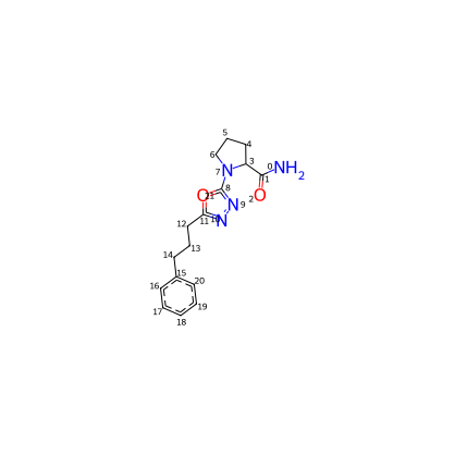 NC(=O)C1CCCN1c1nnc(CCCc2ccccc2)o1